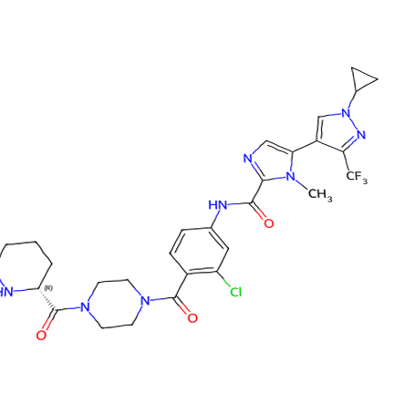 Cn1c(-c2cn(C3CC3)nc2C(F)(F)F)cnc1C(=O)Nc1ccc(C(=O)N2CCN(C(=O)[C@H]3CCCCN3)CC2)c(Cl)c1